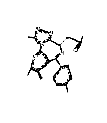 CC(=O)C[C@@H]1N=C(c2ccc(C)cc2)c2c(sc(C)c2C)-n2c(C)nnc21